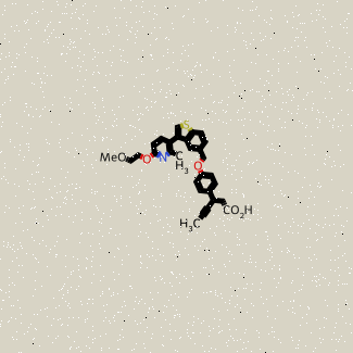 CC#CC(CC(=O)O)c1ccc(OCc2ccc3scc(-c4ccc(OCCOC)nc4C)c3c2)cc1